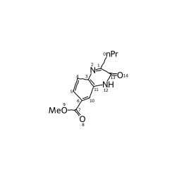 CCCc1nc2ccc(C(=O)OC)cc2[nH]c1=O